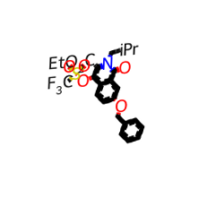 CCOC(=O)c1c(OS(=O)(=O)C(F)(F)F)c2ccc(OCc3ccccc3)cc2c(=O)n1CC(C)C